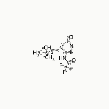 C[Si](C)(C)C#Cc1cc(Cl)nnc1NC(=O)C(F)(F)F